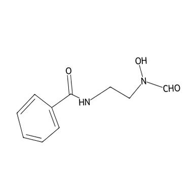 O=CN(O)CCNC(=O)c1ccccc1